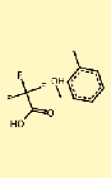 CO.Cc1ccccc1.O=C(O)C(F)(F)F